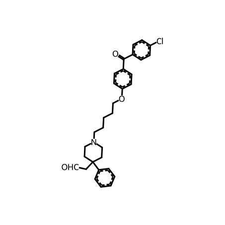 O=CCC1(c2ccccc2)CCN(CCCCCOc2ccc(C(=O)c3ccc(Cl)cc3)cc2)CC1